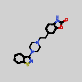 O=c1[nH]c2ccc(CCN3CCN(c4nsc5ccccc45)CC3)cc2o1